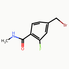 CNC(=O)c1ccc(CBr)cc1F